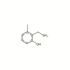 Oc1cccc(I)c1C[SiH3]